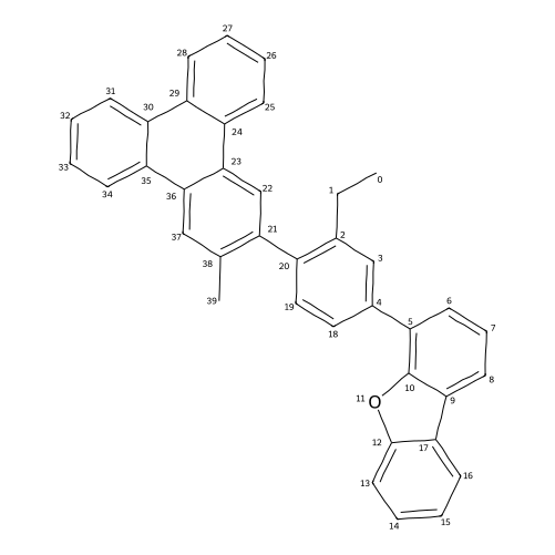 CCc1cc(-c2cccc3c2oc2ccccc23)ccc1-c1cc2c3ccccc3c3ccccc3c2cc1C